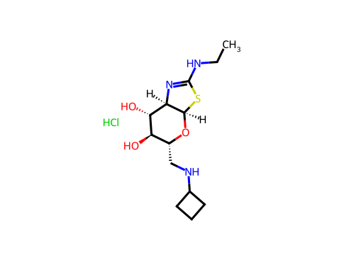 CCNC1=N[C@@H]2[C@@H](O)[C@H](O)[C@@H](CNC3CCC3)O[C@@H]2S1.Cl